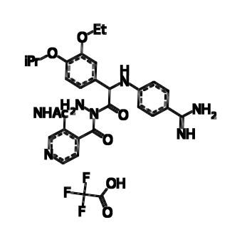 CCOc1cc(C(Nc2ccc(C(=N)N)cc2)C(=O)N(N)C(=O)c2ccncc2NC(C)=O)ccc1OC(C)C.O=C(O)C(F)(F)F